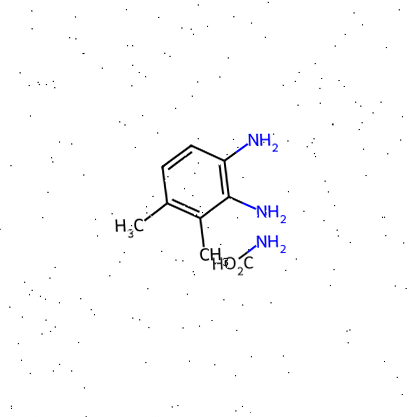 Cc1ccc(N)c(N)c1C.NC(=O)O